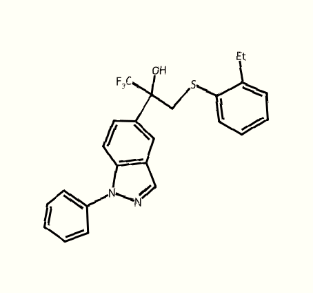 CCc1ccccc1SCC(O)(c1ccc2c(cnn2-c2ccccc2)c1)C(F)(F)F